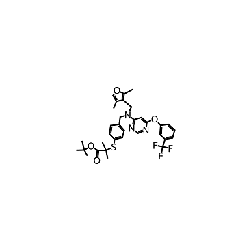 Cc1coc(C)c1CN(Cc1ccc(SC(C)(C)C(=O)OC(C)(C)C)cc1)c1cc(Oc2cccc(C(F)(F)F)c2)ncn1